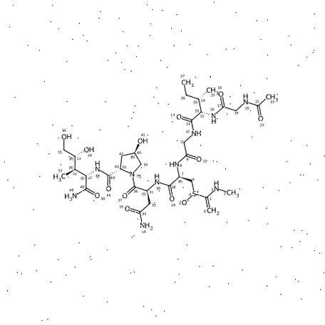 C=C(NC)[S+]([O-])C[C@H](NC(=O)CNC(=O)[C@@H](NC(=O)CNC(C)=O)[C@@H](C)CC)C(=O)N[C@@H](CC(N)=O)C(=O)N1C[C@H](O)C[C@H]1C(=O)N[C@H](C(N)=O)[C@@H](C)[C@@H](O)CO